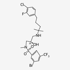 CN(C[C@H](O)CNC(C)(C)CCCc1ccc(Cl)c(F)c1)S(=O)(=O)c1cc(Br)cc(C(F)(F)F)c1